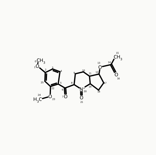 COc1ccc(C(=O)C2CCC3C(OC(C)=O)CCC3[N+]2=O)c(OC)c1